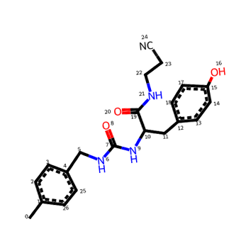 Cc1ccc(CNC(=O)NC(Cc2ccc(O)cc2)C(=O)NCCC#N)cc1